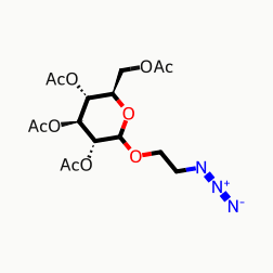 CC(=O)OC[C@H]1OC(OCCN=[N+]=[N-])[C@H](OC(C)=O)[C@@H](OC(C)=O)[C@@H]1OC(C)=O